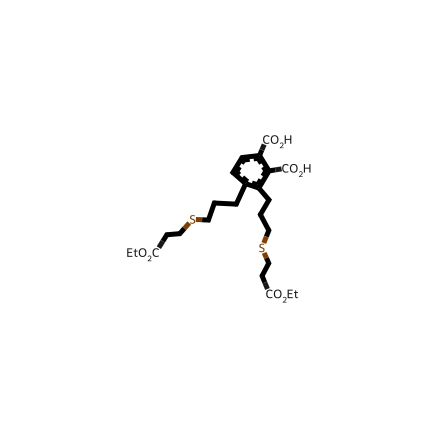 CCOC(=O)CCSCCCc1ccc(C(=O)O)c(C(=O)O)c1CCCSCCC(=O)OCC